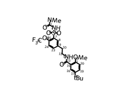 CNC(=O)NS(=O)(=O)c1cc(CCNC(=O)c2cc(C(C)(C)C)ccc2OC)ccc1OC(F)(F)F